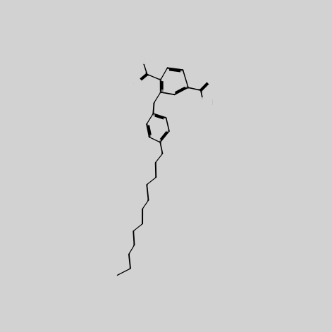 CCCCCCCCCCCCc1ccc(Cc2cc(C(=O)O)ccc2C(=O)O)cc1